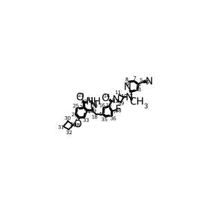 CN(c1cc(C#N)ccn1)C1CN(C(=O)c2cc(Cc3n[nH]c(=O)c4ccc(OC5CCC5)cc34)ccc2F)C1